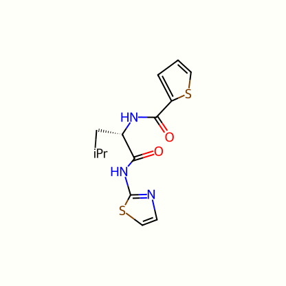 CC(C)C[C@H](NC(=O)c1cccs1)C(=O)Nc1nccs1